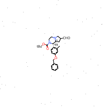 Cc1cc(OCc2ccccc2)ccc1[C@H]1[C@@H]2CC(C=O)CN2CCN1C(=O)OC(C)(C)C